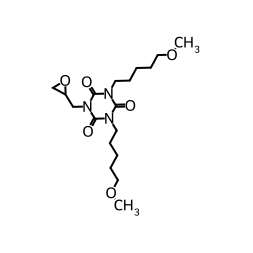 COCCCCCn1c(=O)n(CCCCCOC)c(=O)n(CC2CO2)c1=O